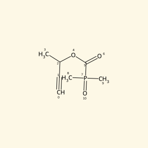 C#CC(C)OC(=O)P(C)(C)=O